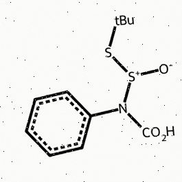 CC(C)(C)S[S+]([O-])N(C(=O)O)c1ccccc1